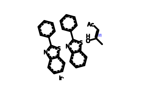 CC(=O)/C=C(/C)O.[Ir].c1ccc(-c2nc3ccccc3s2)cc1.c1ccc(-c2nc3ccccc3s2)cc1